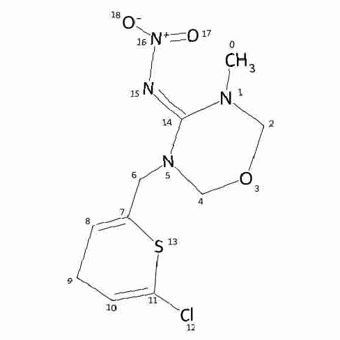 CN1COCN(CC2=CCC=C(Cl)S2)/C1=N/[N+](=O)[O-]